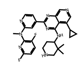 CN(c1cc(-c2nc(NC3CCNCC3(C)C)c3c(C4CC4)cncc3n2)ccn1)c1nc(F)ccc1F